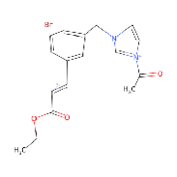 CCOC(=O)/C=C/c1cccc(Cn2cc[n+](C(C)=O)c2)c1.[Br-]